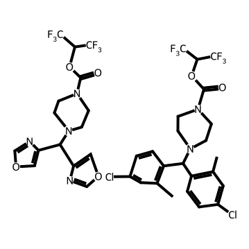 Cc1cc(Cl)ccc1C(c1ccc(Cl)cc1C)N1CCN(C(=O)OC(C(F)(F)F)C(F)(F)F)CC1.O=C(OC(C(F)(F)F)C(F)(F)F)N1CCN(C(c2cocn2)c2cocn2)CC1